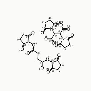 O=C(CCC(=O)ON1C(=O)CCC1=O)ON1C(=O)CCC1=O.O=C(O)C(C(C(=O)O)N1C(=O)CCC1=O)N1C(=O)CCC1=O